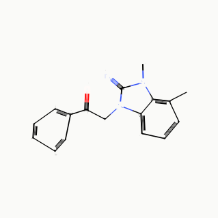 Cc1cccc2c1n(C)c(=N)n2CC(=O)c1ccccc1